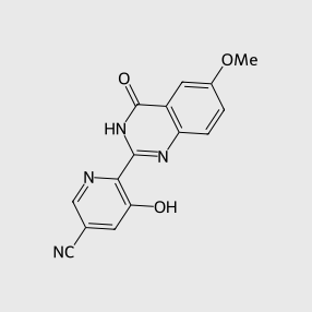 COc1ccc2nc(-c3ncc(C#N)cc3O)[nH]c(=O)c2c1